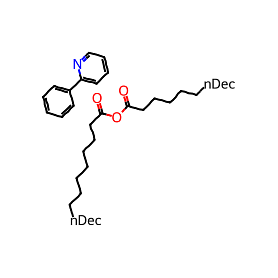 CCCCCCCCCCCCCCCCCC(=O)OC(=O)CCCCCCCCCCCCCCC.c1ccc(-c2ccccn2)cc1